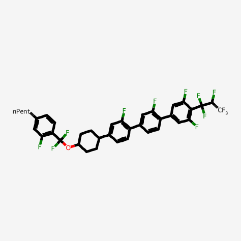 CCCCCc1ccc(C(F)(F)OC2CCC(c3ccc(-c4ccc(-c5cc(F)c(C(F)(F)C(F)C(F)(F)F)c(F)c5)c(F)c4)c(F)c3)CC2)c(F)c1